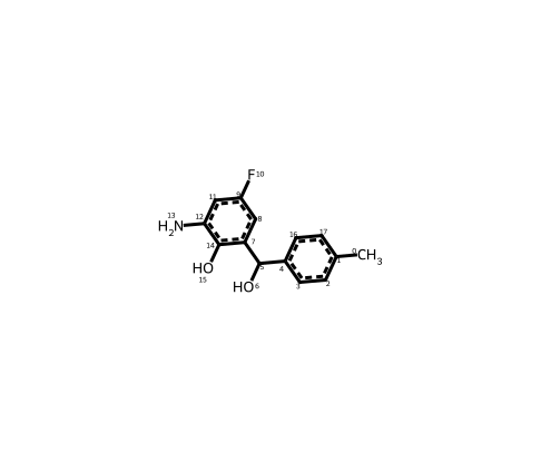 Cc1ccc(C(O)c2cc(F)cc(N)c2O)cc1